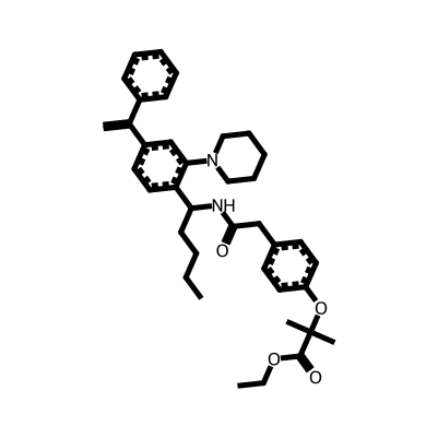 C=C(c1ccccc1)c1ccc(C(CCCC)NC(=O)Cc2ccc(OC(C)(C)C(=O)OCC)cc2)c(N2CCCCC2)c1